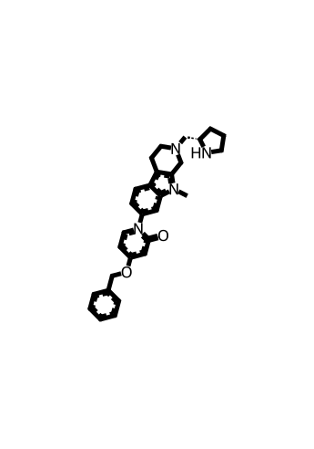 Cn1c2c(c3ccc(-n4ccc(OCc5ccccc5)cc4=O)cc31)CCN(C[C@@H]1CCCN1)C2